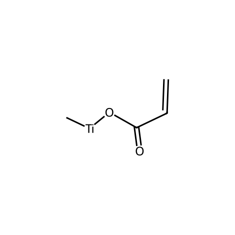 C=CC(=O)[O][Ti][CH3]